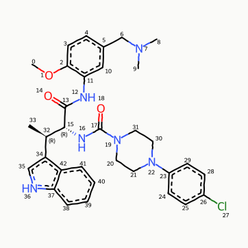 COc1ccc(CN(C)C)cc1NC(=O)[C@H](NC(=O)N1CCN(c2ccc(Cl)cc2)CC1)[C@H](C)c1c[nH]c2ccccc12